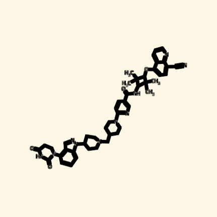 CC1(C)C(NC(=O)c2ccc(N3CCC(CN4CCC(n5ncc6c(N7CCC(=O)NC7=O)cccc65)CC4)CC3)nc2)C(C)(C)C1Oc1ccc(C#N)c2ncccc12